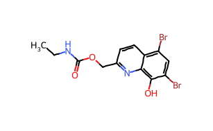 CCNC(=O)OCc1ccc2c(Br)cc(Br)c(O)c2n1